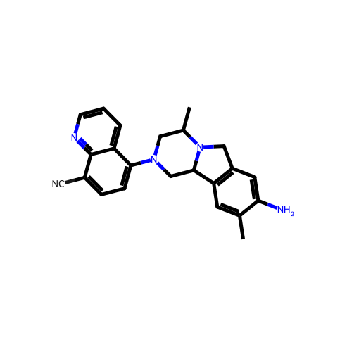 Cc1cc2c(cc1N)CN1C(C)CN(c3ccc(C#N)c4ncccc34)CC21